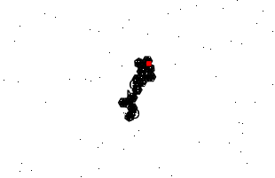 c1ccc(N(c2ccc(-c3ccc4c(c3)Oc3cccc5c(N(c6ccccc6)c6ccc7c(c6)C(c6ccccc6)(c6ccccc6)c6ccccc6-7)ccc-4c35)nc2)c2ccc3oc4ccccc4c3c2)cc1